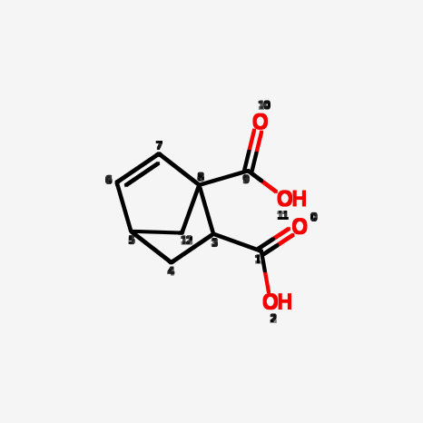 O=C(O)C1CC2C=CC1(C(=O)O)C2